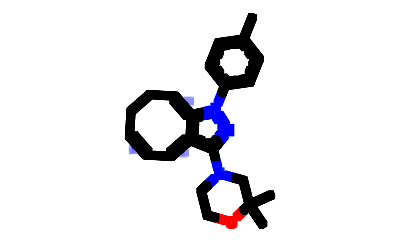 Cc1ccc(-n2nc(N3CCOC(C)(C)C3)c3/c2=C\CC/C=C\C=3)cc1